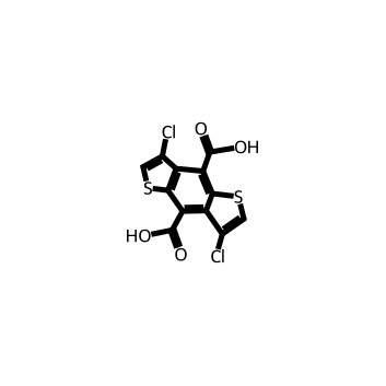 O=C(O)c1c2scc(Cl)c2c(C(=O)O)c2scc(Cl)c12